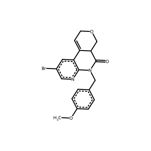 COc1ccc(CN2C(=O)C3COCC=C3c3cc(Br)cnc32)cc1